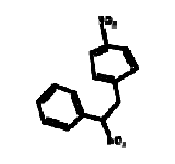 O=[N+]([O-])[C](Cc1ccc([N+](=O)[O-])cc1)c1ccccc1